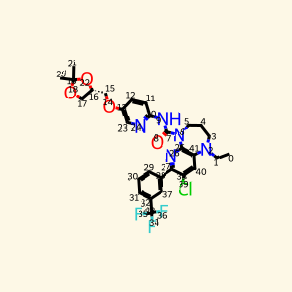 CCN1CCCN(C(=O)Nc2ccc(OC[C@@H]3COC(C)(C)O3)cn2)c2nc(-c3cccc(C(F)(F)F)c3)c(Cl)cc21